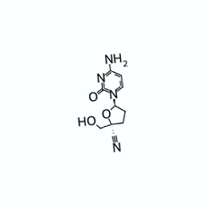 N#C[C@@]1(CO)CC[C@H](n2ccc(N)nc2=O)O1